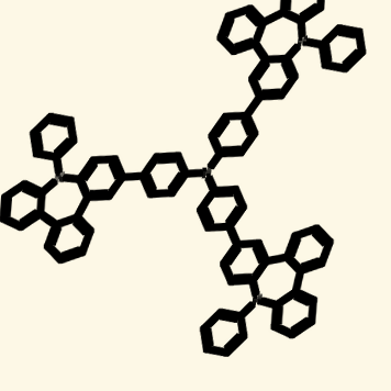 c1ccc(N2c3ccccc3-c3ccccc3-c3cc(-c4ccc(N(c5ccc(-c6ccc7c(c6)-c6ccccc6-c6ccccc6N7c6ccccc6)cc5)c5ccc(-c6ccc7c(c6)-c6ccccc6-c6ccccc6N7c6ccccc6)cc5)cc4)ccc32)cc1